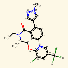 CCN(C(=O)c1ccccc1-c1cnn(C)c1)[C@@H](C)COc1ncc(C(F)(F)F)cc1F